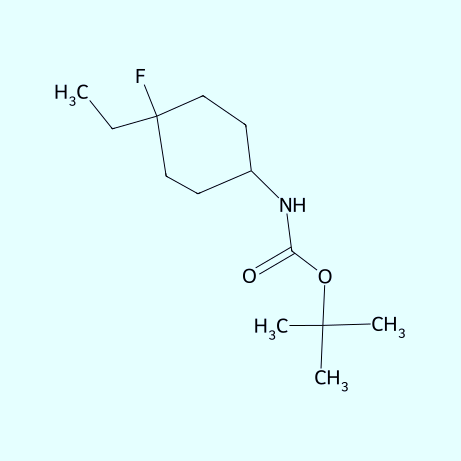 CCC1(F)CCC(NC(=O)OC(C)(C)C)CC1